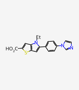 CCn1c(-c2ccc(-n3ccnc3)cc2)cc2sc(C(=O)O)cc21